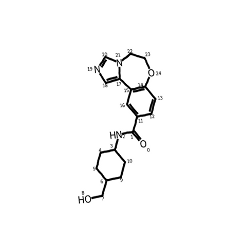 O=C(NC1CCC(CO)CC1)c1ccc2c(c1)-c1cncn1CCO2